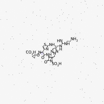 N=C(NCCN)NCc1cnn(C[C@@H]2[C@H](NC(=O)/C(=N\OC3(C(=O)O)CC3)c3csc(N)n3)C(=O)N2S(=O)(=O)O)n1